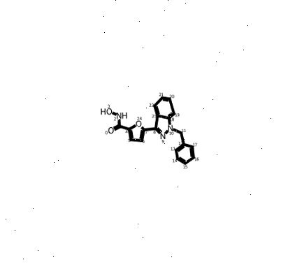 O=C(NO)c1ccc(-c2nn(Cc3ccccc3)c3ccccc23)o1